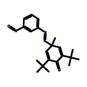 CC1(N=Nc2cccc(N=O)c2)C=C(C(C)(C)C)C(=O)C(C(C)(C)C)=C1